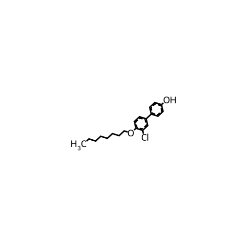 CCCCCCCCOc1ccc(-c2ccc(O)cc2)cc1Cl